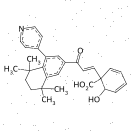 CC1(C)CCC(C)(C)c2c(-c3ccncc3)cc(C(=O)C=CC3(C(=O)O)C=CC=CC3O)cc21